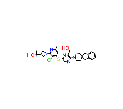 Cc1cc(Sc2cnc(N3CCC4(CC3)Cc3ccccc3C4)c(CO)n2)c(Cl)c(N2CC(C(C)(C)O)C2)n1